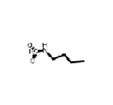 CCCCN[SH](=O)=O